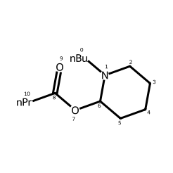 CCCCN1CCCCC1OC(=O)CCC